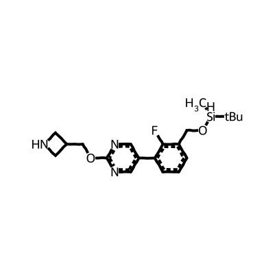 C[SiH](OCc1cccc(-c2cnc(OCC3CNC3)nc2)c1F)C(C)(C)C